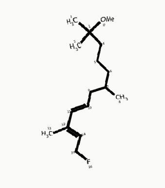 COC(C)(C)CCCC(C)CC=CC(C)=CCF